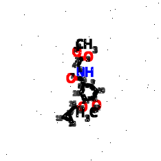 COC(=O)CNC(=O)c1ccc(OC)c(OCC2CC2)c1